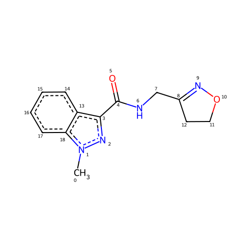 Cn1nc(C(=O)NCC2=NOCC2)c2ccccc21